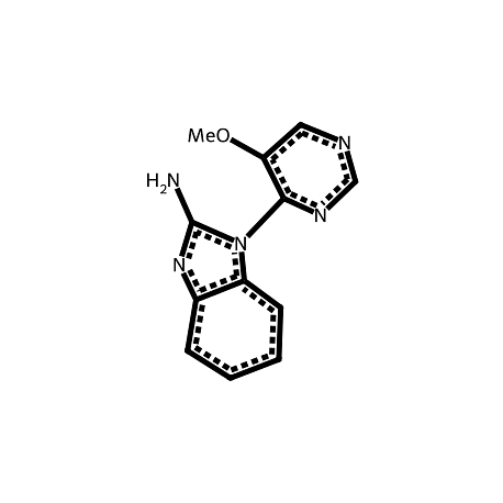 COc1cncnc1-n1c(N)nc2ccccc21